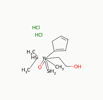 C[SiH](C)[Ti]([CH3])(=[O])(=[SiH2])([CH2]CO)[C]1=CC=CC1.Cl.Cl